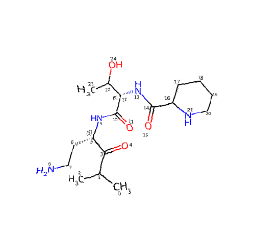 CC(C)C(=O)[C@H](CCN)NC(=O)[C@@H](NC(=O)C1CCCCN1)C(C)O